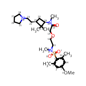 COc1cc(C)c(S(=O)(=O)N(C)CCOCC(=O)N(C)[C@@H]2C[C@H](CCN3CCCC3)C2(C)C)c(C)c1